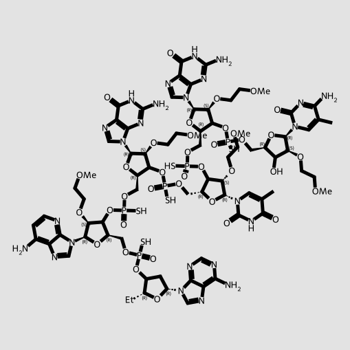 CC[C@H]1O[C@@H](n2cnc3c(N)ncnc32)CC1OP(=O)(S)OC[C@H]1O[C@@H](n2cnc3c(N)ccnc32)[C@@H](OCCOC)C1OP(=O)(S)OC[C@H]1O[C@@H](n2cnc3c(=O)[nH]c(N)nc32)[C@@H](OCCOC)C1OP(=O)(S)OC[C@H]1O[C@@H](n2cc(C)c(=O)[nH]c2=O)[C@@H](OCCOC)C1OP(=O)(S)OC[C@H]1O[C@@H](n2cnc3c(=O)[nH]c(N)nc32)[C@@H](OCCOC)C1OP(=O)(S)OC[C@H]1O[C@@H](n2cc(C)c(N)nc2=O)[C@@H](OCCOC)C1O